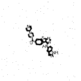 O=C([C@H]1CCc2c(sc3ncnc(Nc4ccc5[nH]ncc5c4)c23)C1)N1CCN(c2ccncc2)CC1